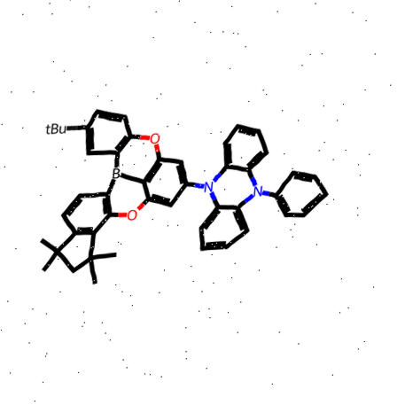 CC(C)(C)c1ccc2c(c1)B1c3ccc4c(c3Oc3cc(N5c6ccccc6N(c6ccccc6)c6ccccc65)cc(c31)O2)C(C)(C)CC4(C)C